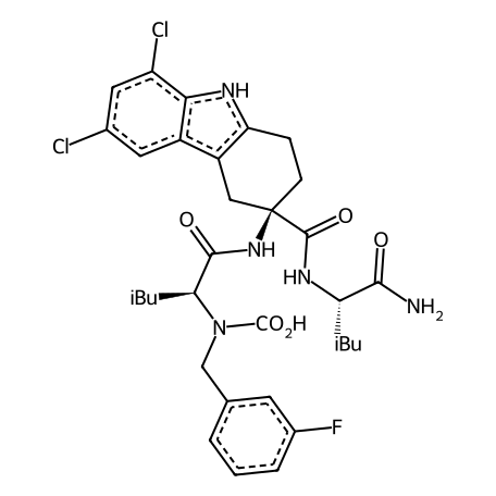 CCC(C)[C@H](NC(=O)[C@@]1(NC(=O)[C@H](C(C)CC)N(Cc2cccc(F)c2)C(=O)O)CCc2[nH]c3c(Cl)cc(Cl)cc3c2C1)C(N)=O